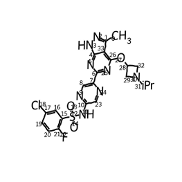 Cc1n[nH]c2nc(-c3cnc(NS(=O)(=O)c4cc(Cl)ccc4F)cn3)nc(OC3CN(C(C)C)C3)c12